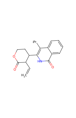 C=CC1C(=O)OCCC1c1[nH]c(=O)c2ccccc2c1C(C)C